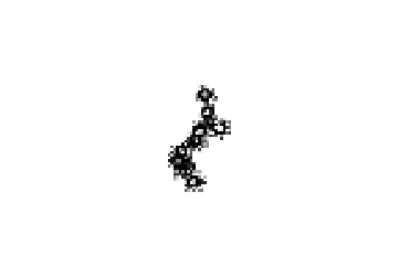 C1=CCC(N(c2ccc(-c3ccccc3)cc2)c2ccc3cc(-c4ccc5ccc6nc(-c7ccccc7)oc6c5c4)ccc3c2)C=C1